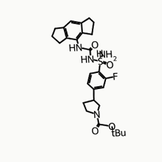 CC(C)(C)OC(=O)N1CCC(c2ccc([SH](N)(=O)NC(=O)Nc3c4c(cc5c3CCC5)CCC4)c(F)c2)C1